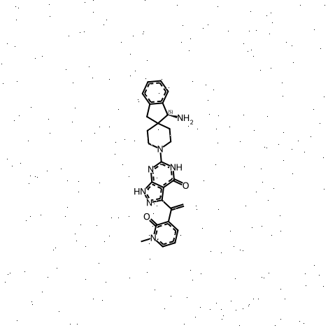 C=C(c1cccn(C)c1=O)c1n[nH]c2nc(N3CCC4(CC3)Cc3ccccc3[C@H]4N)[nH]c(=O)c12